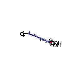 CC1=C(C#C/C(C)=C/C=C/C(C)=C/C=C/C=C(C)/C=C/C=C(C)/C=C/C23OC2(C)CC(O)(O)CC3(C)C)C(C)(C)CCC1